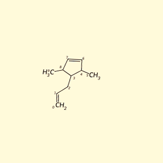 C=CCC1C(C)C=CC1C